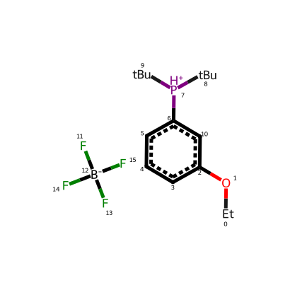 CCOc1cccc([PH+](C(C)(C)C)C(C)(C)C)c1.F[B-](F)(F)F